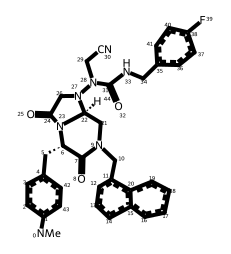 CNc1ccc(C[C@H]2C(=O)N(Cc3cccc4ccccc34)C[C@H]3N2C(=O)CN3N(CC#N)C(=O)NCc2ccc(F)cc2)cc1